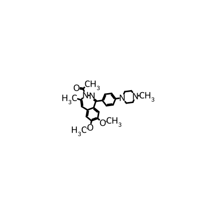 COc1cc2c(cc1OC)C(c1ccc(N3CCN(C)CC3)cc1)=NN(C(C)=O)C(C)=C2